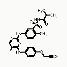 C#CCOc1ccc(Nc2nc(Nc3ccc(C)c(S(=O)(=O)NC(=O)C(C)C)c3)ncc2F)cc1